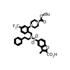 Cc1c(C(=O)O)oc2ccc(S(=O)(=O)N(CCc3ccccc3)Cc3ccc(C(F)(F)F)cc3N3CCN(C(=O)OC(C)(C)C)CC3)cc12